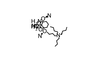 CCCC[N+](CCCC)(CCCC)CCCC.N#COC1(N)CCCC(OC#N)(OC#N)C1(N)OC#N